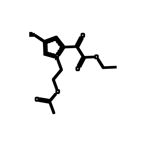 CCOC(=O)C(=O)c1cc(Br)cn1CCOC(C)=O